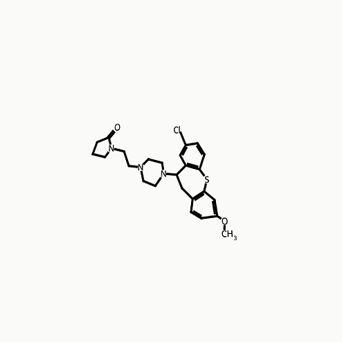 COc1ccc2c(c1)Sc1ccc(Cl)cc1C(N1CCN(CCN3CCCC3=O)CC1)C2